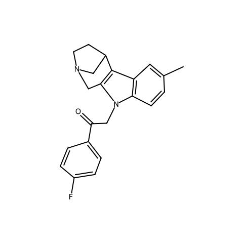 Cc1ccc2c(c1)c1c(n2CC(=O)c2ccc(F)cc2)CN2CCC1C2